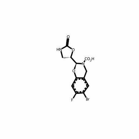 O=C1NC[C@@H]([C@@H]2Oc3cc(F)c(Br)cc3CN2C(=O)O)O1